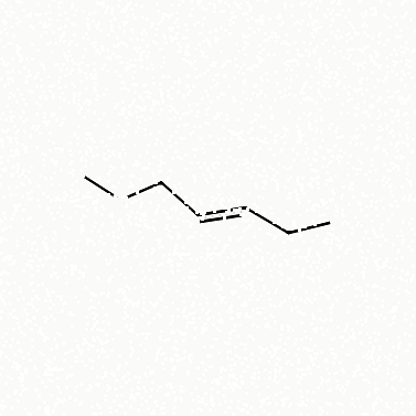 C[CH]C=CCSC